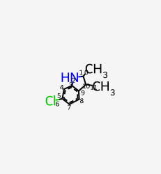 CC1Nc2cc(Cl)ccc2C1C